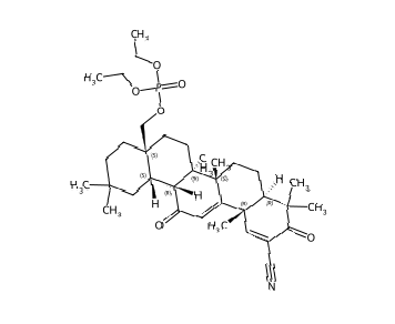 CCOP(=O)(OCC)OC[C@]12CCC(C)(C)C[C@H]1[C@H]1C(=O)C=C3[C@@]4(C)C=C(C#N)C(=O)C(C)(C)[C@@H]4CC[C@@]3(C)[C@]1(C)CC2